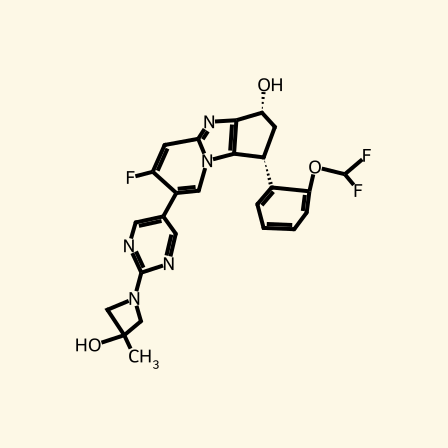 CC1(O)CN(c2ncc(-c3cn4c5c(nc4cc3F)[C@H](O)C[C@@H]5c3ccccc3OC(F)F)cn2)C1